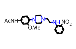 COc1cc(NC(C)=O)ccc1N1CCN(CCNc2ccccc2[N+](=O)[O-])CC1